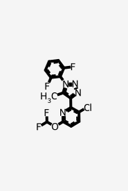 Cc1c(-c2nc(OC(F)F)ccc2Cl)nnn1-c1c(F)cccc1F